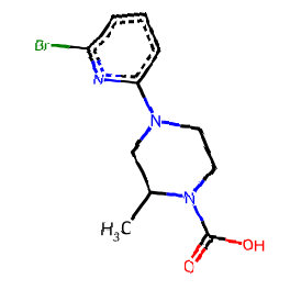 CC1CN(c2cccc(Br)n2)CCN1C(=O)O